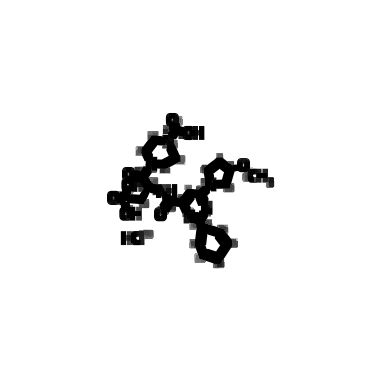 CO[C@H]1CCN(c2cc(C(=O)N[C@@H](CP(=O)(O)O)C(=O)N3CCN(C(=O)O)CC3)nc(-c3ccccc3)n2)C1.Cl